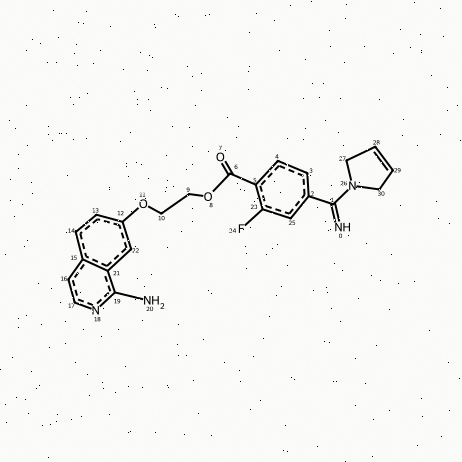 N=C(c1ccc(C(=O)OCCOc2ccc3ccnc(N)c3c2)c(F)c1)N1CC=CC1